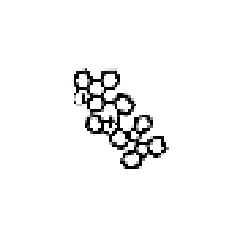 c1ccc(-n2c3ccccc3c3ccc4c(c32)-c2ccccc2C42c3ccccc3-c3ccccc32)c(-c2ccc3oc4cccc5c6ccccc6c2c3c45)c1